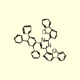 c1ccc(-c2cc(-c3ccccc3)c(-c3cc(-c4cccc5c4oc4ccccc45)nc(-c4cccc5c4oc4ccccc45)n3)cc2-c2ccccc2)cc1